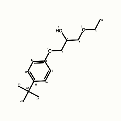 CCOCC(O)COc1ccc(C(C)(C)C)cc1